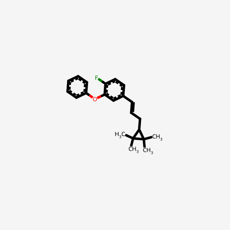 CC1(C)C(CC=Cc2ccc(F)c(Oc3ccccc3)c2)C1(C)C